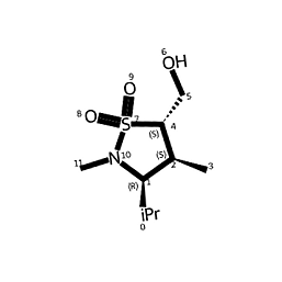 CC(C)[C@@H]1[C@H](C)[C@@H](CO)S(=O)(=O)N1C